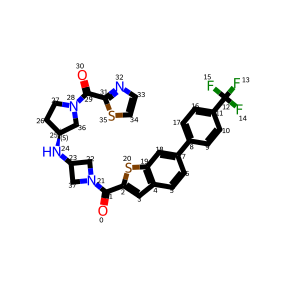 O=C(c1cc2ccc(-c3ccc(C(F)(F)F)cc3)cc2s1)N1CC(N[C@H]2CCN(C(=O)c3nccs3)C2)C1